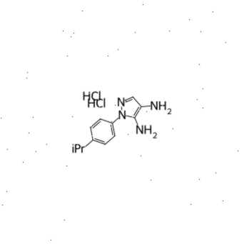 CC(C)c1ccc(-n2ncc(N)c2N)cc1.Cl.Cl